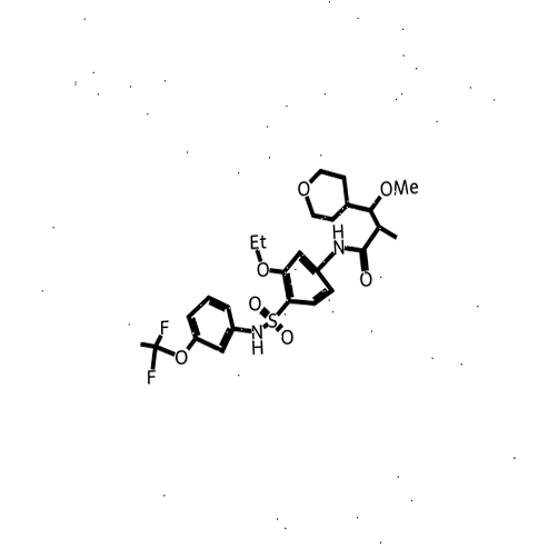 CCOc1cc(NC(=O)C(C)C(OC)C2CCOCC2)ccc1S(=O)(=O)Nc1cccc(OC(C)(F)F)c1